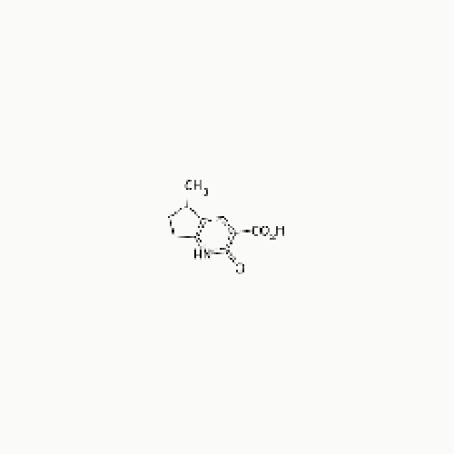 CC1CCc2[nH]c(=O)c(C(=O)O)cc21